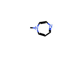 CN1C=CC=NC=C1